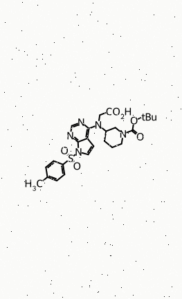 Cc1ccc(S(=O)(=O)n2ccc3c(N(CC(=O)O)C4CCCN(C(=O)OC(C)(C)C)C4)ncnc32)cc1